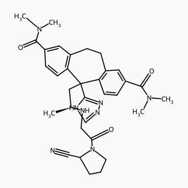 C[C@@H](CC1(c2nnc[nH]2)c2ccc(C(=O)N(C)C)cc2CCc2cc(C(=O)N(C)C)ccc21)NCC(=O)N1CCCC1C#N